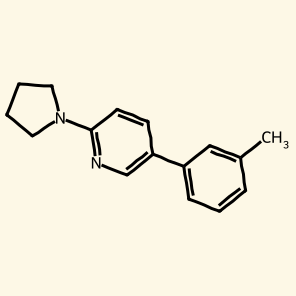 Cc1cccc(-c2ccc(N3CCCC3)nc2)c1